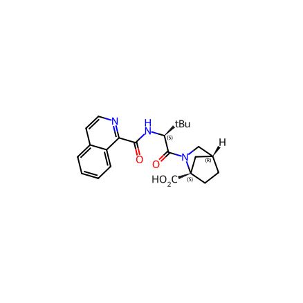 CC(C)(C)[C@H](NC(=O)c1nccc2ccccc12)C(=O)N1C[C@@H]2CC[C@@]1(C(=O)O)C2